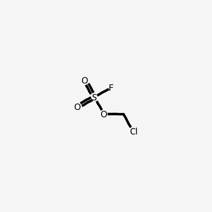 O=S(=O)(F)OCCl